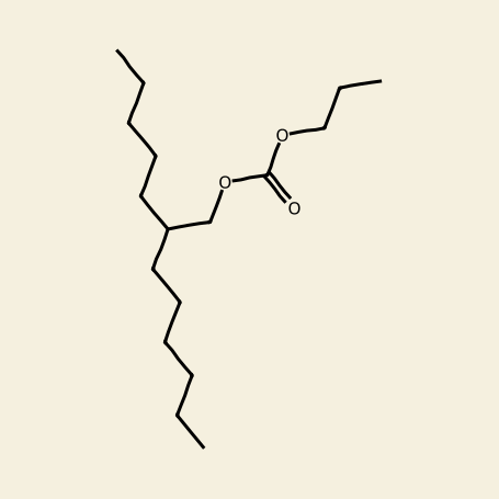 CCCCCCC(CCCCC)COC(=O)OCCC